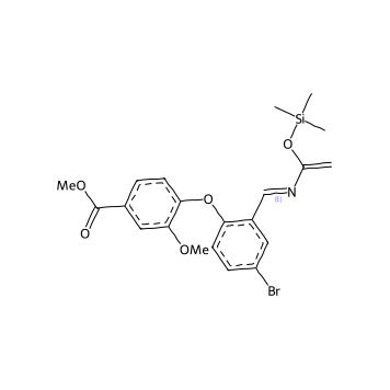 C=C(/N=C/c1cc(Br)ccc1Oc1ccc(C(=O)OC)cc1OC)O[Si](C)(C)C